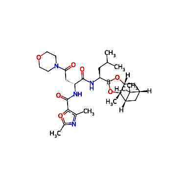 Cc1nc(C)c(C(=O)N[C@H](CC(=O)N2CCOCC2)C(=O)N[C@@H](CC(C)C)B2O[C@@H]3C[C@@H]4C[C@@H](C4(C)C)[C@]3(C)O2)o1